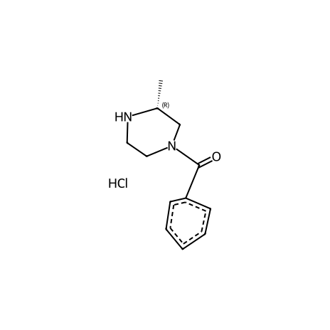 C[C@@H]1CN(C(=O)c2ccccc2)CCN1.Cl